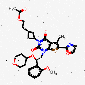 COc1ccccc1[C@H](Cn1c(=O)n(C2CC(CCOC(C)=O)C2)c(=O)c2c(C)c(-c3ncco3)sc21)OC1CCOCC1